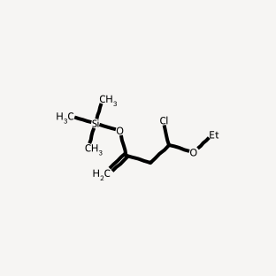 C=C(CC(Cl)OCC)O[Si](C)(C)C